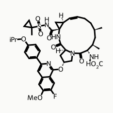 COc1cc2cc(-c3ccc(OC(C)C)cc3)nc(O[C@@H]3C[C@H]4C(=O)N[C@]5(C(=O)NS(=O)(=O)C6(C)CC6)C[C@H]5/C=C\CC[C@@H](C)C[C@@H](C)[C@H](NC(=O)O)C(=O)N4C3)c2cc1F